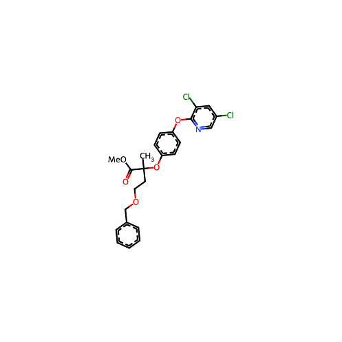 COC(=O)C(C)(CCOCc1ccccc1)Oc1ccc(Oc2ncc(Cl)cc2Cl)cc1